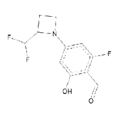 O=Cc1c(O)cc(N2CCC2C(F)F)cc1F